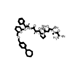 CC[C@H](C)[C@@H]([C@@H](CC(=O)N1CCC[C@H]1[C@H](OC)[C@@H](C)C(=O)N[C@H](C)[C@@H](OC1CCCC(COCc2ccc(C3CCCCCC3)cc2)O1)c1ccccc1)OC)N(C)C(=O)[C@@H](N)C(C)C